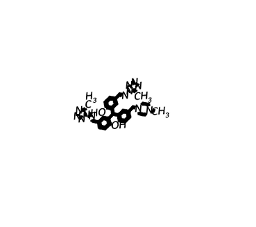 Cc1nnnn1N=Cc1ccc(O)c(C(c2cccc(CN3CCN(C)CC3)c2)c2cc(C=Nn3nnnc3C)ccc2O)c1